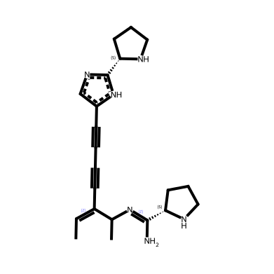 C/C=C(/C#CC#Cc1cnc([C@@H]2CCCN2)[nH]1)C(C)/N=C(\N)[C@@H]1CCCN1